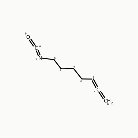 C=C=CCCCCN=C=O